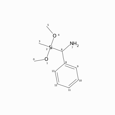 CO[Si](C)(OC)C(N)c1ccccc1